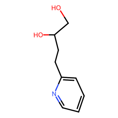 OCC(O)CCc1ccccn1